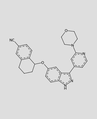 N#Cc1ccc2c(c1)CCCC2Oc1ccc2[nH]nc(-c3ccnc(N4CCOCC4)c3)c2c1